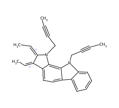 CC#CCn1c(=C/C)/c(=C\C)c2ccc3c4ccccc4n(CC#CC)c3c21